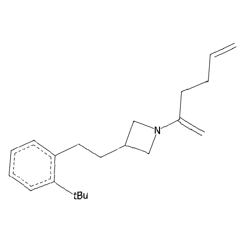 C=CCCC(=C)N1CC(CCc2ccccc2C(C)(C)C)C1